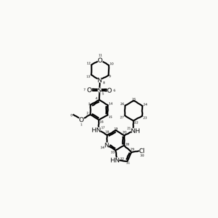 COc1cc(S(=O)(=O)N2CCOCC2)ccc1Nc1cc(NC2CCCCC2)c2c(Cl)c[nH]c2n1